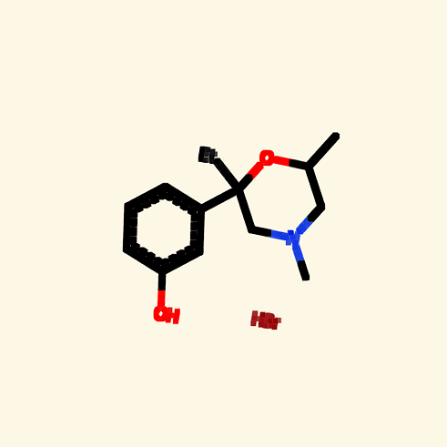 Br.CCC1(c2cccc(O)c2)CN(C)CC(C)O1